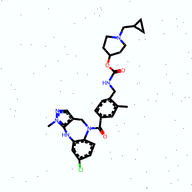 Cc1cc(C(=O)N2Cc3cnn(C)c3Nc3cc(Cl)ccc32)ccc1CNC(=O)OC1CCN(CC2CC2)CC1